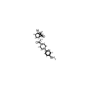 Bc1ccc(N2CCN([S+]([O-])C[C@@]34CC[C@@H](CC3=O)C4(C)C)CC2)nc1